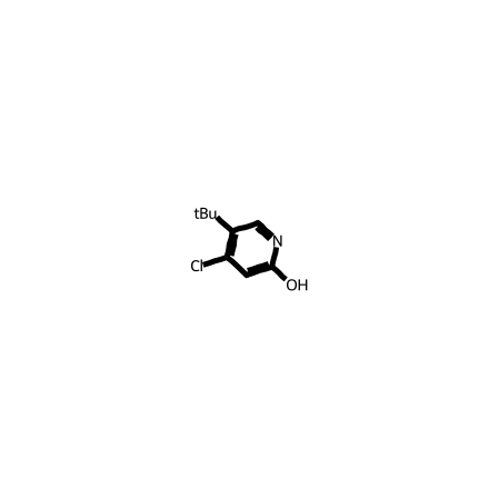 CC(C)(C)c1cnc(O)cc1Cl